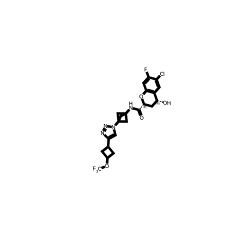 O=C(NC12CC(n3cc(C4CC(OC(F)(F)F)C4)nn3)(C1)C2)[C@H]1C[C@@H](O)c2cc(Cl)c(F)cc2O1